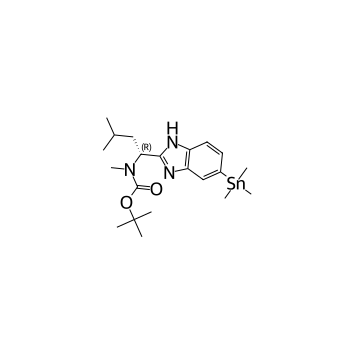 CC(C)C[C@H](c1nc2c[c]([Sn]([CH3])([CH3])[CH3])ccc2[nH]1)N(C)C(=O)OC(C)(C)C